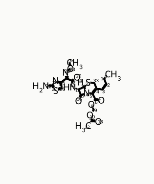 CC/C=C\C1=C(C(=O)OCOC(C)=O)N2C(=O)[C@@H](NC(=O)/C(=N\OC)c3csc(N)n3)[C@@H]2SC1